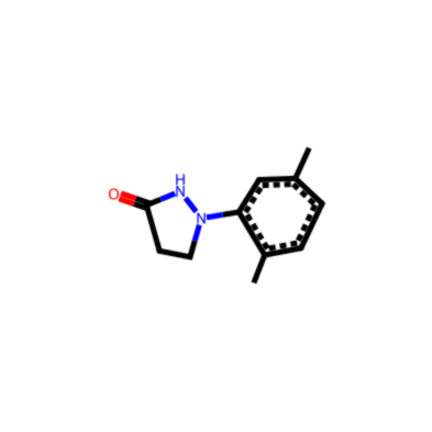 Cc1ccc(C)c(N2CCC(=O)N2)c1